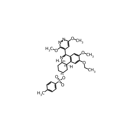 CCOc1cc2c(cc1OC)C(c1cc(OC)nnc1OC)=N[C@@H]1CC[C@@H](OS(=O)(=O)c3ccc(C)cc3)C[C@H]21